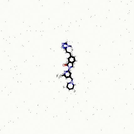 C[C@@H]1C[C@H](C)CN(Cc2cc(N3Cc4ccc([C@@H](C)Cc5nncn5C)cc4C3=O)nc(C(F)(F)F)c2)C1